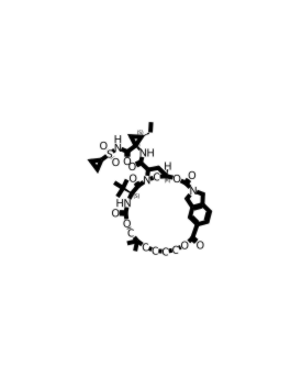 CC[C@H]1C[C@@]1(NC(=O)C1C[C@@H]2CN1C(=O)[C@H](C(C)(C)C)NC(=O)OCC(C)(C)CCCCOC(=O)c1ccc3c(c1)CN(C3)C(=O)O2)C(=O)NS(=O)(=O)C1CC1